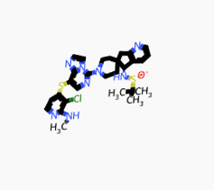 CNc1nccc(Sc2cnc(N3CCC4(CC3)Cc3ncccc3[C@H]4N[S@+]([O-])C(C)(C)C)n3ccnc23)c1Cl